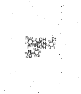 CCc1cccc(CNC[C@@H](O)[C@H](Cc2cc(F)cc(F)c2)NC(=O)c2cccc(-c3ncco3)c2)c1